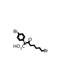 O=C(O)N(C(=O)CCCCCBr)c1ccc(Br)cc1